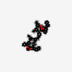 CC(C)(C)c1cc(-c2ccc3c(c2)c2ccccc2n3-c2ccccc2)c2c(c1)c1cc(C(C)(C)Cc3ccc(N(c4ccccc4)c4cc(C(C)(C)C)cc5c6cc(C(C)(C)C)cc7c8nc9c(nc8n(c45)c67)c4c5ccccc5cc5c6ccc7ccccc7c6n9c54)cc3)cc3c4nc5c(nc4n2c13)c1c2ccccc2cc2c3ccc4ccccc4c3n5c21